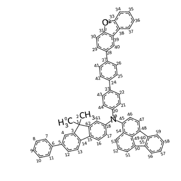 CC1(C)c2cc(-c3ccccc3)ccc2-c2ccc(N(c3ccc(-c4ccc(-c5ccc6oc7ccccc7c6c5)cc4)cc3)c3ccc4c5c(cccc35)-c3ccccc3-4)cc21